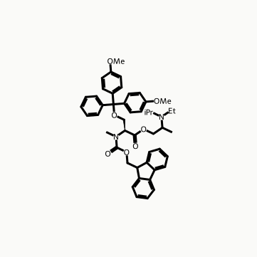 CCN(C(C)C)C(C)COC(=O)[C@H](COC(c1ccccc1)(c1ccc(OC)cc1)c1ccc(OC)cc1)N(C)C(=O)OCC1c2ccccc2-c2ccccc21